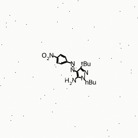 CCCCn1nc(C(C)(C)C)c(N=Nc2ccc([N+](=O)[O-])cc2)c1N